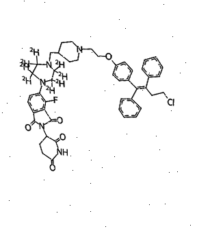 [2H]C1([2H])N(CC2CCN(CCOc3ccc(C(=C(CCCl)c4ccccc4)c4ccccc4)cc3)CC2)C([2H])([2H])C([2H])([2H])N(c2ccc3c(c2F)C(=O)N(C2CCC(=O)NC2=O)C3=O)C1([2H])[2H]